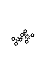 c1ccc(-c2nc(-c3ccccc3)nc(-n3c4ccccc4c4ccc5c(sc6ccc7c(nc(-c8ccccc8)n7-c7ccccc7)c65)c43)n2)cc1